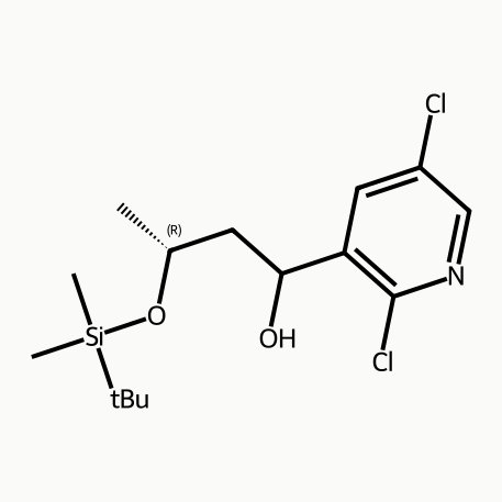 C[C@H](CC(O)c1cc(Cl)cnc1Cl)O[Si](C)(C)C(C)(C)C